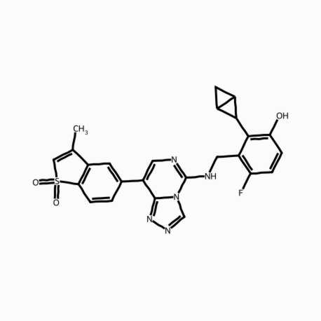 CC1=CS(=O)(=O)c2ccc(-c3cnc(NCc4c(F)ccc(O)c4C4C5CC54)n4cnnc34)cc21